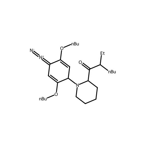 CCCCOC1=CC(N2CCCCC2C(=O)C(CC)CCCC)C(OCCCC)=CC1=[N+]=[N-]